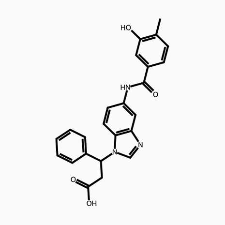 Cc1ccc(C(=O)Nc2ccc3c(c2)ncn3C(CC(=O)O)c2ccccc2)cc1O